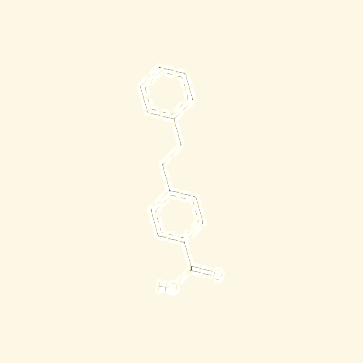 O=C(O)c1ccc(CCc2ccccc2)cc1